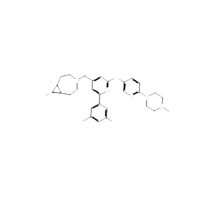 CN1CCN(c2ccc(Oc3cc(CN4CC[C@@H]5[C@H](CC4)[C@@H]5C(=O)O)cc(-c4cc(Cl)cc(Cl)c4)n3)cn2)CC1